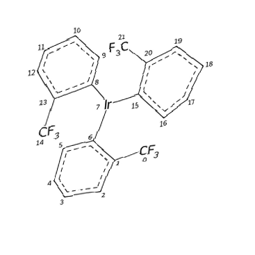 FC(F)(F)c1cccc[c]1[Ir]([c]1ccccc1C(F)(F)F)[c]1ccccc1C(F)(F)F